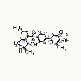 CC=CC(/C(=C/C)[C@@H](C)[C@@H](C)O)S(=O)(=O)c1ccc(-c2cc(C)c(O)c(C)c2)cc1